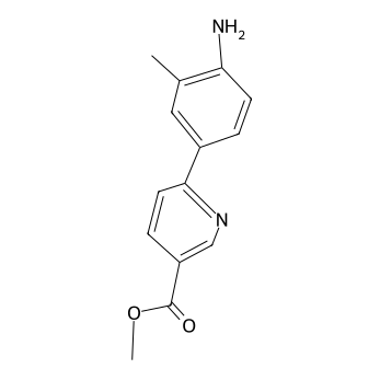 COC(=O)c1ccc(-c2ccc(N)c(C)c2)nc1